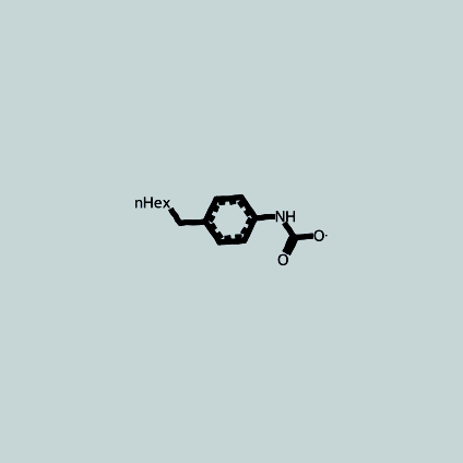 CCCCCCCc1ccc(NC([O])=O)cc1